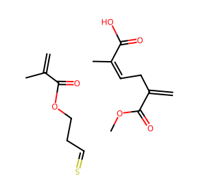 C=C(C)C(=O)OCCC=S.C=C(CC=C(C)C(=O)O)C(=O)OC